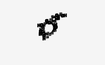 CC[C@H]1C(=O)C(C)(C)[C@@H](O)CC(=O)O[C@H](c2ccc3oc(CO)nc3c2)C[C@@H]2O[C@]2(C)CCC[C@H](C)[C@@H]1O